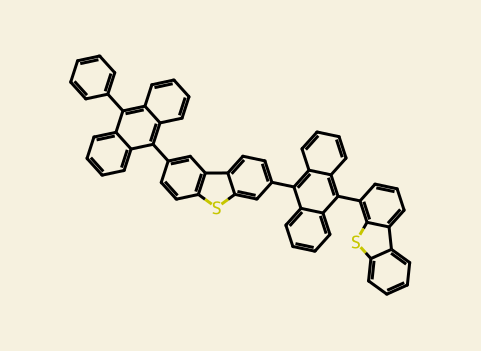 c1ccc(-c2c3ccccc3c(-c3ccc4sc5cc(-c6c7ccccc7c(-c7cccc8c7sc7ccccc78)c7ccccc67)ccc5c4c3)c3ccccc23)cc1